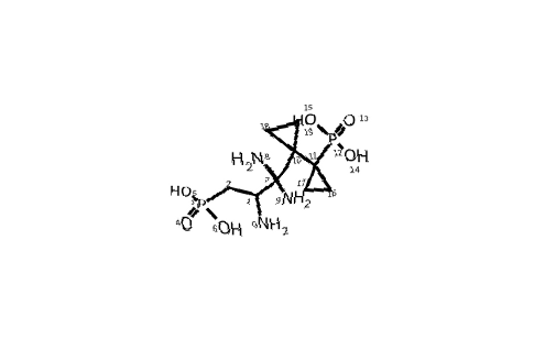 NC(CP(=O)(O)O)C(N)(N)C1(C2(P(=O)(O)O)CC2)CC1